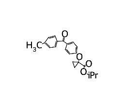 Cc1ccc(C(=O)c2ccc(OC3(C(=O)OC(C)C)CC3)cc2)cc1